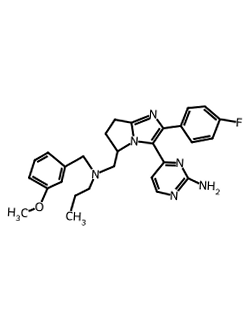 CCCN(Cc1cccc(OC)c1)CC1CCc2nc(-c3ccc(F)cc3)c(-c3ccnc(N)n3)n21